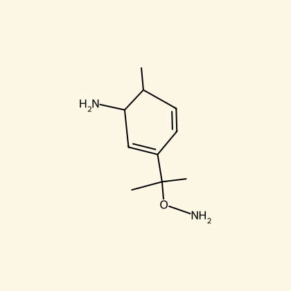 CC1C=CC(C(C)(C)ON)=CC1N